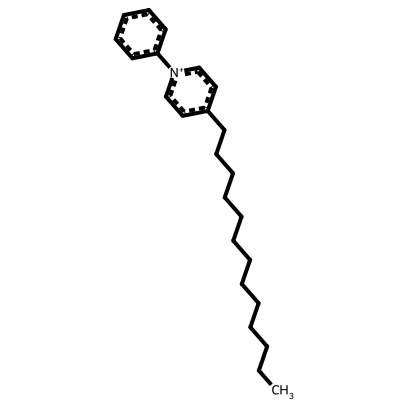 CCCCCCCCCCCCCc1cc[n+](-c2ccccc2)cc1